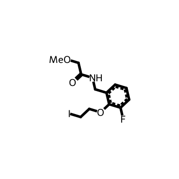 COCC(=O)NCc1cccc(F)c1OCCI